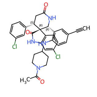 C#Cc1ccc(NC2CCN(C(C)=O)CC2)c([C@H]2NC(=O)C[C@@H](c3cccc(Cl)c3)[C@]23C(=O)Nc2cc(Cl)ccc23)c1